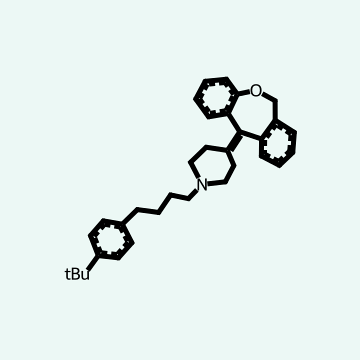 CC(C)(C)c1ccc(CCCCN2CCC(=C3c4ccccc4COc4ccccc43)CC2)cc1